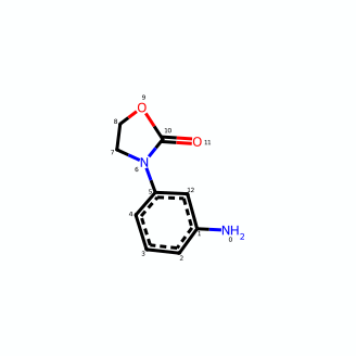 Nc1cccc(N2CCOC2=O)c1